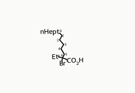 CCCCCCCCCCCCC(Br)(CC)C(=O)O